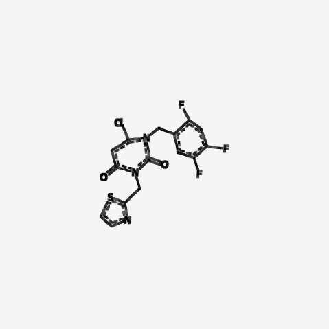 O=c1cc(Cl)n(Cc2cc(F)c(F)cc2F)c(=O)n1Cc1nccs1